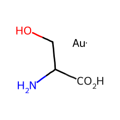 NC(CO)C(=O)O.[Au]